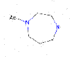 CC(=O)N1CCC[N]CC1